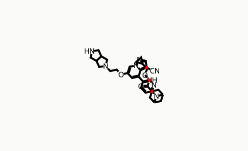 N#Cc1cnn2cc(OCCN3CC4CNCC4C3)cc(-c3ccc(N4C5CC(C(=O)NOCC6CC6)CC4C5)nc3)c12